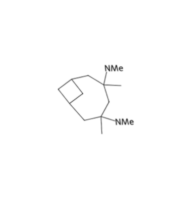 CNC1(C)CC2CC(C2)CC(C)(NC)C1